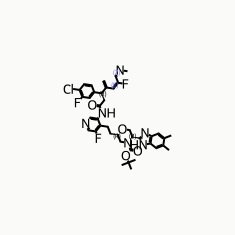 C=C(/C=C(F)\C=N/C)[C@@H](CC(=O)Nc1cncc(F)c1CC[C@@H]1CN(C(=O)OC(C)(C)C)[C@H](c2nc3cc(C)c(C)cc3[nH]2)CO1)c1ccc(Cl)c(F)c1